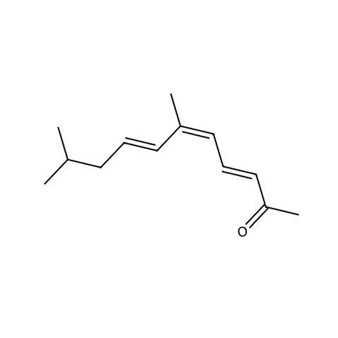 CC(=O)C=CC=C(C)C=CCC(C)C